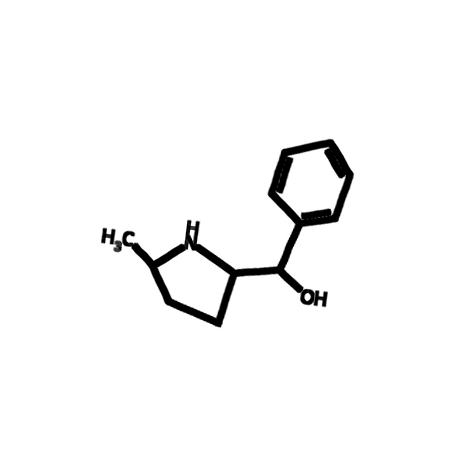 CC1CCC(C(O)c2ccccc2)N1